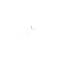 CC1=C(O)CCC1.CCCC(=O)O